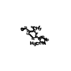 Cc1cc(-n2nnnc2C)ccc1C=O